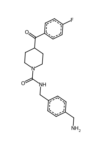 NCc1ccc(CNC(=O)N2CCC(C(=O)c3ccc(F)cc3)CC2)cc1